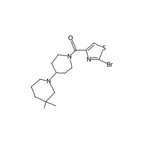 CC1(C)CCCN(C2CCN(C(=O)c3csc(Br)n3)CC2)C1